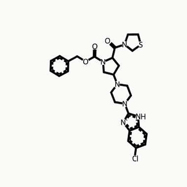 O=C(C1CC(N2CCN(c3nc4cc(Cl)ccc4[nH]3)CC2)CN1C(=O)OCc1ccccc1)N1CCSC1